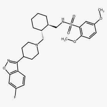 COc1ccc(OC)c(S(=O)(=O)NC[C@@H]2CCCC[C@H]2CN2CCC(c3noc4cc(F)ccc34)CC2)c1